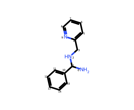 NC(NCc1ccccn1)c1ccccc1